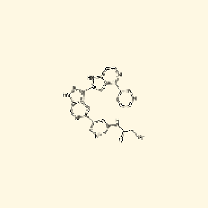 CC(C)CC(=O)Nc1cncc(-c2cc3c(-c4cc5c(-c6cccnc6)nccc5[nH]4)n[nH]c3cn2)c1